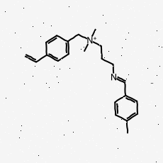 C=Cc1ccc(C[N+](C)(C)CCCN=Cc2ccc(C)cc2)cc1